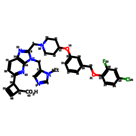 CCn1cncc1Cn1c(CN2CCC(Oc3cccc(COc4ccc(Cl)cc4F)c3)CC2)nc2ccc(C3C#CC3C(=O)O)nc21